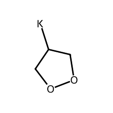 [K][CH]1COOC1